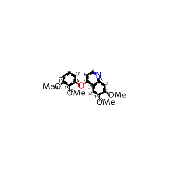 COc1cc2nccc(Oc3cccc(OC)c3OC)c2cc1OC